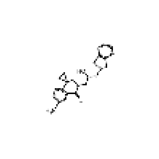 Nc1ccc2c(c1)C(=O)N(CC(O)CN1Cc3ccccc3C1)CC21CC1